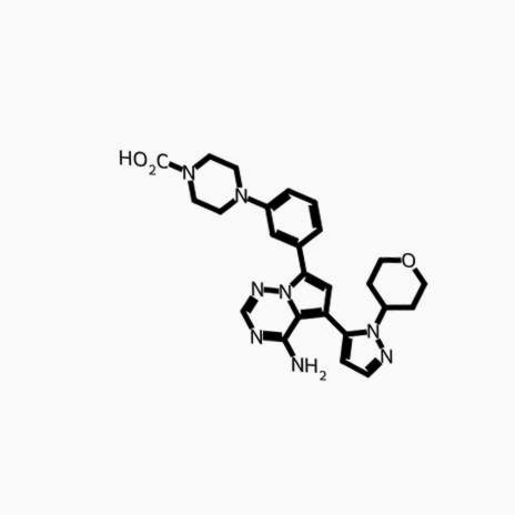 Nc1ncnn2c(-c3cccc(N4CCN(C(=O)O)CC4)c3)cc(-c3ccnn3C3CCOCC3)c12